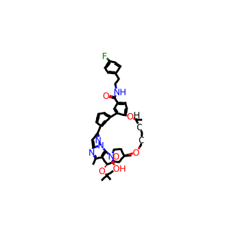 Cc1nc2cc3nn2c(c1[C@H](OC(C)(C)C)C(=O)O)N1CCC(C)(CC1)OCCCC[C@H](C)Oc1ccc(C(=O)NCCc2ccc(F)cc2)cc1-c1cccc-3c1